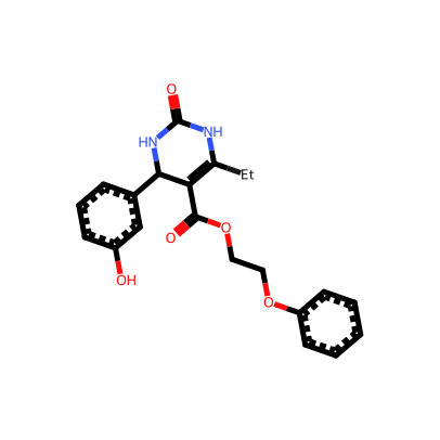 CCC1=C(C(=O)OCCOc2ccccc2)C(c2cccc(O)c2)NC(=O)N1